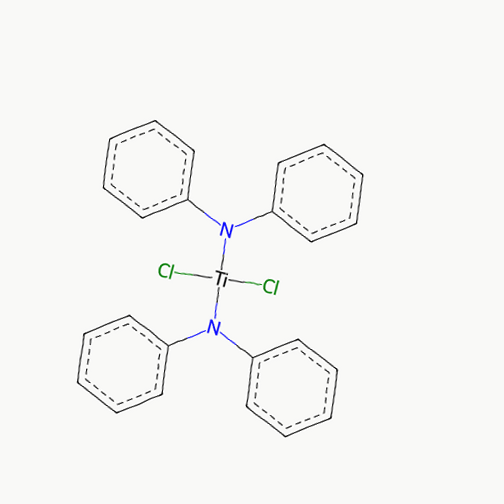 [Cl][Ti]([Cl])([N](c1ccccc1)c1ccccc1)[N](c1ccccc1)c1ccccc1